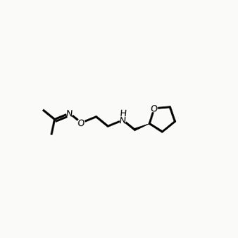 CC(C)=NOCCNC[C@@H]1CCCO1